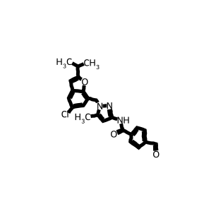 Cc1cc(NC(=O)c2ccc(C=O)cc2)nn1Cc1cc(Cl)cc2cc(C(C)C)oc12